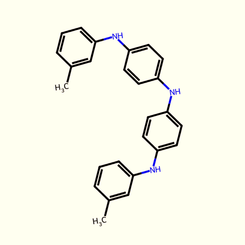 Cc1cccc(Nc2ccc(Nc3ccc(Nc4cccc(C)c4)cc3)cc2)c1